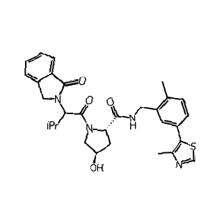 Cc1ccc(-c2scnc2C)cc1CNC(=O)[C@@H]1C[C@@H](O)CN1C(=O)C(C(C)C)N1Cc2ccccc2C1=O